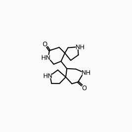 O=C1CC2(CCNC2)C(C2CNC(=O)CC23CCNC3)CN1